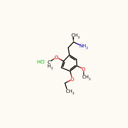 CCOc1cc(OC)c(C[C@@H](C)N)cc1OC.Cl